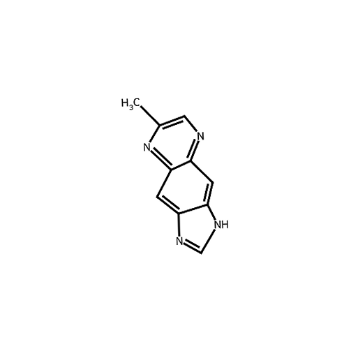 Cc1cnc2cc3[nH]cnc3cc2n1